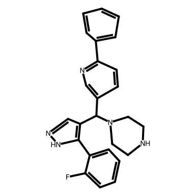 Fc1ccccc1-c1[nH]ncc1C(c1ccc(-c2ccccc2)nc1)N1CCNCC1